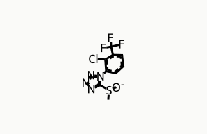 C[S+]([O-])c1nnnn1-c1cccc(C(F)(F)F)c1Cl